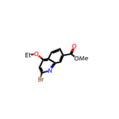 CCOc1cc(Br)nc2cc(C(=O)OC)ccc12